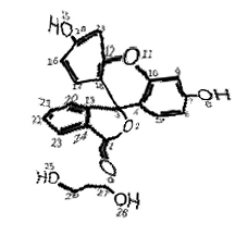 O=C1OC2(c3ccc(O)cc3Oc3cc(O)ccc32)c2ccccc21.OCCO